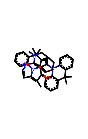 C/C1=C(N2C3=CCCC=C3C(C)(C)c3ccccc32)\C=C/NC2=C(C1=O)C(N1c3ccccc3C(C)(C)c3ccccc31)=CCN2C